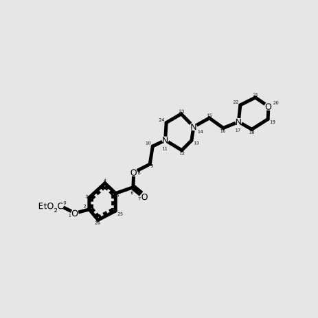 CCOC(=O)Oc1ccc(C(=O)OCCN2CCN(CCN3CCOCC3)CC2)cc1